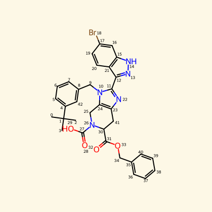 CC(C)(C)c1cccc(Cn2c(-c3n[nH]c4cc(Br)ccc34)nc3c2CN(C(=O)O)C(C(=O)OCc2ccccc2)C3)c1